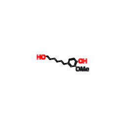 COc1cc(CCCCCCO)ccc1O